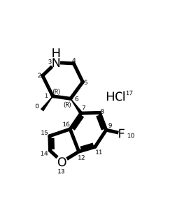 C[C@H]1CNCC[C@H]1c1cc(F)cc2occc12.Cl